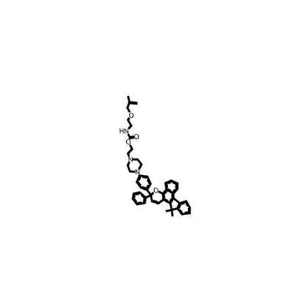 C=C(C)COCCNC(=O)OCCN1CCN(c2ccc(C3(c4ccccc4)C=Cc4c5c(c6ccccc6c4O3)-c3ccccc3C5(C)C)cc2)CC1